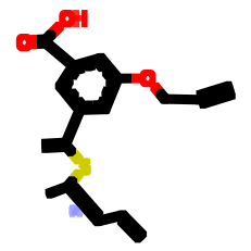 C#CCOc1cc(C(=C)S/C(C)=C\C=C)cc(C(=O)O)c1